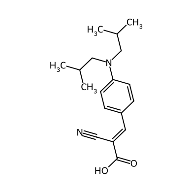 CC(C)CN(CC(C)C)c1ccc(/C=C(\C#N)C(=O)O)cc1